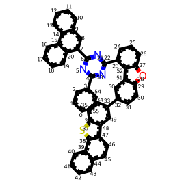 c1ccc(-c2nc(-c3cc4ccccc4c4ccccc34)nc(-c3cccc4oc5ccc(-c6ccc7sc8c9ccccc9ccc8c7c6)cc5c34)n2)cc1